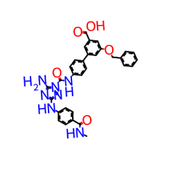 CNC(=O)c1ccc(Nc2nc(N)n(C(=O)Nc3ccc(-c4cc(OCc5ccccc5)cc(C(=O)O)c4)cc3)n2)cc1